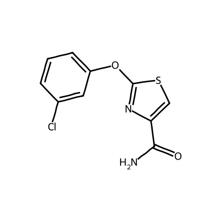 NC(=O)c1csc(Oc2cccc(Cl)c2)n1